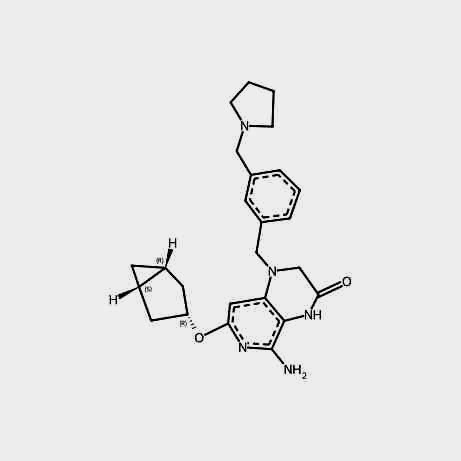 Nc1nc(O[C@@H]2C[C@@H]3C[C@@H]3C2)cc2c1NC(=O)CN2Cc1cccc(CN2CCCC2)c1